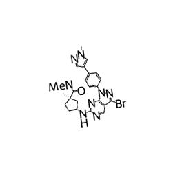 CNC(=O)[C@]1(C)CC[C@@H](Nc2ncc3c(Br)nn(-c4ccc(-c5cnn(C)c5)cc4)c3n2)C1